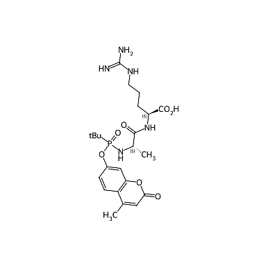 Cc1cc(=O)oc2cc(OP(=O)(N[C@@H](C)C(=O)N[C@@H](CCCNC(=N)N)C(=O)O)C(C)(C)C)ccc12